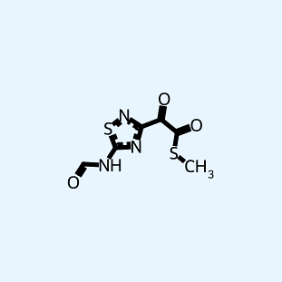 CSC(=O)C(=O)c1nsc(NC=O)n1